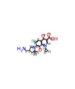 NCC1C[C@H]2COc3c(c(F)cc4c(=O)c(C(=O)O)cn(C5CC5)c34)N2C1